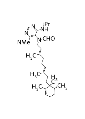 CNc1ncnc(NC(C)C)c1N(C=O)C/C=C(\C)CC/C=C(\C)CC[C@@]1(C)C(C)=CCC[C@@H]1C